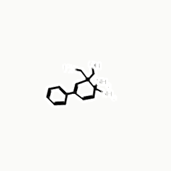 NC1(N)C=CC(c2ccccc2)=CC1(CO)CO